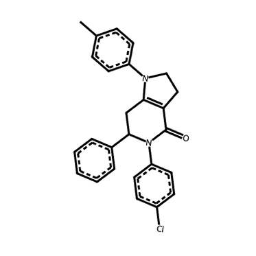 Cc1ccc(N2CCC3=C2CC(c2ccccc2)N(c2ccc(Cl)cc2)C3=O)cc1